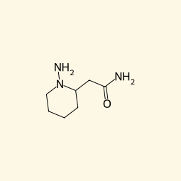 NC(=O)CC1CCCCN1N